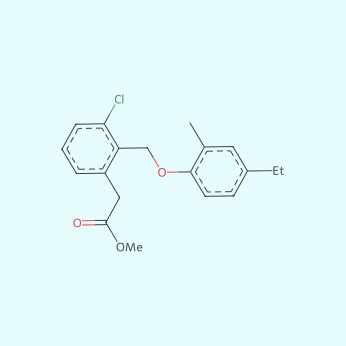 CCc1ccc(OCc2c(Cl)cccc2CC(=O)OC)c(C)c1